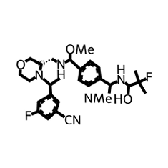 CNC(NC(O)C(C)(C)F)c1ccc(C(NC[C@H]2COCCN2C(C)c2cc(F)cc(C#N)c2)OC)cc1